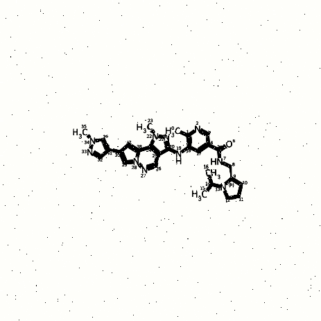 Cc1ncc(C(=O)NC[C@H]2CCCN2C(C)C)cc1Nc1nn(C)c2c1cnn1cc(-c3cnn(C)c3)cc21